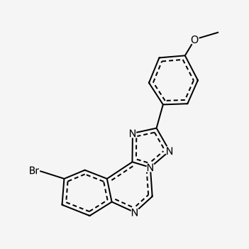 COc1ccc(-c2nc3c4cc(Br)ccc4ncn3n2)cc1